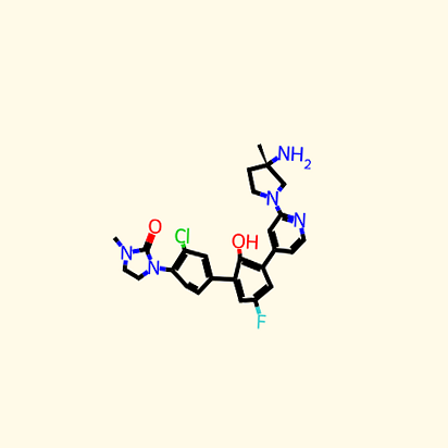 CN1CCN(c2ccc(-c3cc(F)cc(-c4ccnc(N5CC[C@](C)(N)C5)c4)c3O)cc2Cl)C1=O